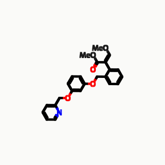 CO/C=C(\C(=O)OC)c1ccccc1COc1cccc(OCc2ccccn2)c1